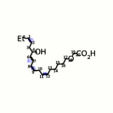 CC/C=C\CC(O)/C=C/C=C\C/C=C\CCCCCOCC(=O)O